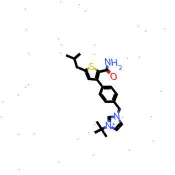 CC(C)Cc1cc(-c2ccc(Cn3cc[n+](C(C)(C)C)c3)cc2)c(C(N)=O)s1